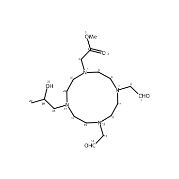 COC(=O)CN1CCN(CC=O)CCN(CC=O)CCN(CC(C)O)CC1